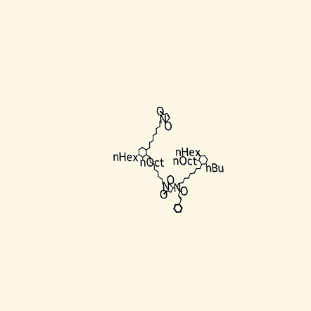 CCCCCCCCC1C(CCCCCC)CCC(CCCC)C1CCCCCCCCN(C(=O)/C=C/c1ccccc1)C1CC(=O)N(CCCCCCCCC2C(CCCCCCCCN3C(=O)C=CC3=O)CCC(CCCCCC)C2CCCCCCCC)C1=O